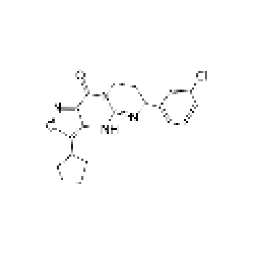 O=C1c2noc(C3CCCC3)c2NC2=NC(c3cccc(Cl)c3)CCN12